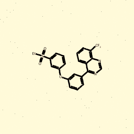 CCS(=O)(=O)c1cccc(Oc2cccc(-c3ncnc4c(C(F)(F)F)cccc34)c2)c1